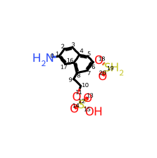 Nc1ccc2cccc(CCOS(=O)(=O)O)c2c1.O=[SH2]=O